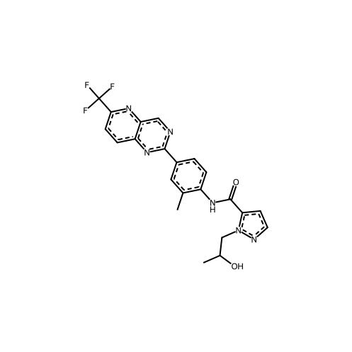 Cc1cc(-c2ncc3nc(C(F)(F)F)ccc3n2)ccc1NC(=O)c1ccnn1CC(C)O